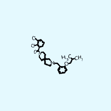 CC(C)COc1ccccc1CN1CCC2(CCN(C(=O)c3cccc(Cl)c3Cl)CC2)C1